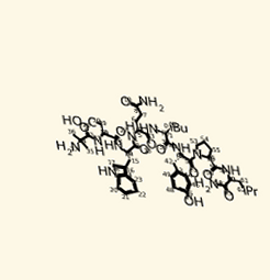 CC[C@H](C)[C@H](NC(=O)[C@H](CCC(N)=O)NC(=O)[C@H](Cc1c[nH]c2ccccc12)NC(=O)[C@H](CC(=O)O)NC(=O)C(C)(C)N)C(=O)N[C@@H](Cc1ccc(O)cc1)C(=O)N1CCC[C@H]1C(=O)N[C@@H](CC(C)C)C(N)=O